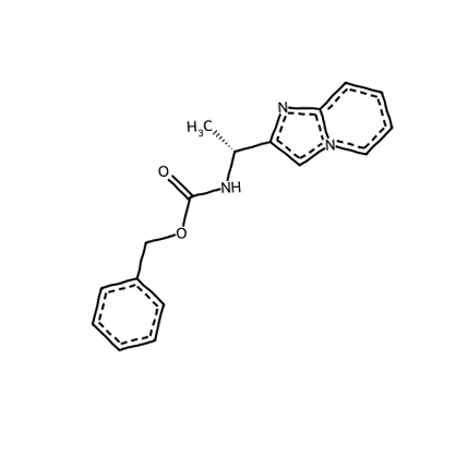 C[C@@H](NC(=O)OCc1ccccc1)c1cn2ccccc2n1